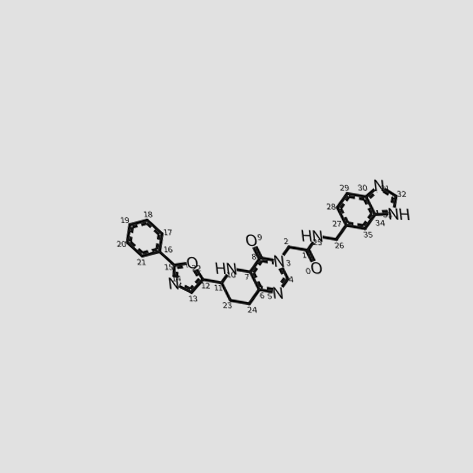 O=C(Cn1cnc2c(c1=O)NC(c1cnc(-c3ccccc3)o1)CC2)NCc1ccc2nc[nH]c2c1